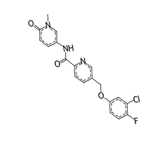 Cn1cc(NC(=O)c2ccc(COc3ccc(F)c(Cl)c3)cn2)ccc1=O